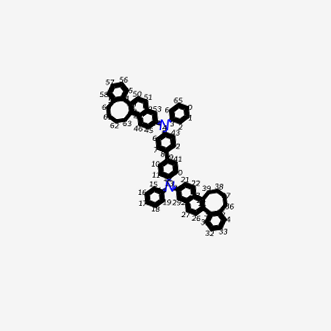 c1ccc(N(c2ccc(-c3ccc(N(c4ccccc4)c4ccc5c6c(ccc5c4)-c4ccccc4CCCC6)cc3)cc2)c2ccc3c4c(ccc3c2)-c2ccccc2CCCC4)cc1